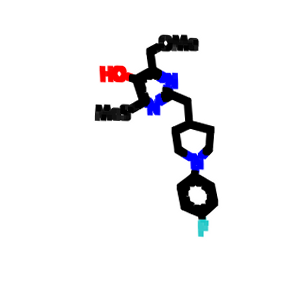 COCc1nc(CC2CCN(c3ccc(F)cc3)CC2)nc(SC)c1O